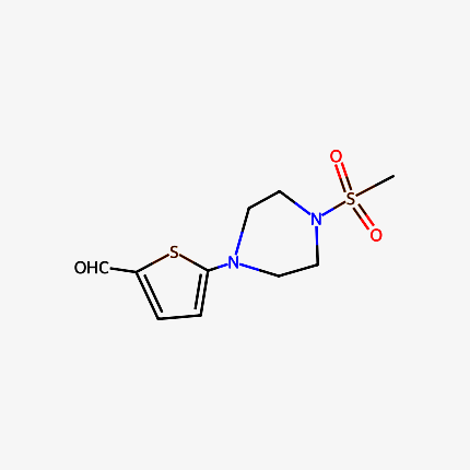 CS(=O)(=O)N1CCN(c2ccc(C=O)s2)CC1